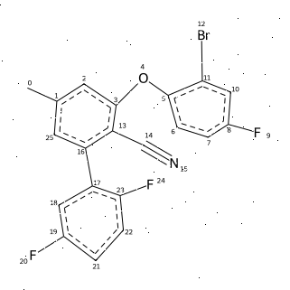 Cc1cc(Oc2ccc(F)cc2Br)c(C#N)c(-c2cc(F)ccc2F)c1